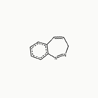 C1=Cc2ccccc2N=NC1